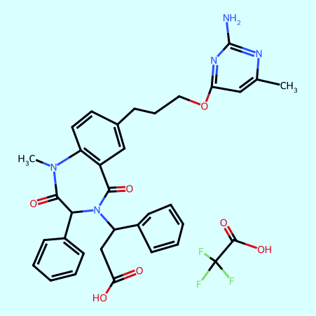 Cc1cc(OCCCc2ccc3c(c2)C(=O)N(C(CC(=O)O)c2ccccc2)C(c2ccccc2)C(=O)N3C)nc(N)n1.O=C(O)C(F)(F)F